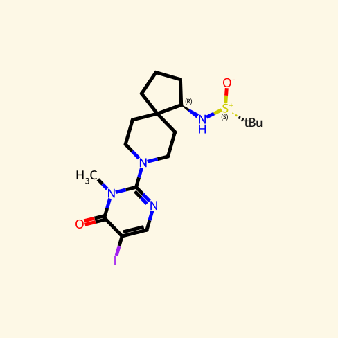 Cn1c(N2CCC3(CCC[C@H]3N[S@+]([O-])C(C)(C)C)CC2)ncc(I)c1=O